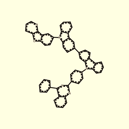 c1ccc(-c2nc(-c3ccc(-n4c5ccccc5c5ccc(-c6ccc7c(c6)c6ccccc6n7-c6ccc7oc8cccnc8c7c6)cc54)cc3)nc3ccccc23)cc1